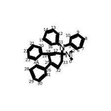 CN(C)C1(N(c2ccccc2)c2ccccc2)C=C(c2ccccc2)C(c2ccccc2)=CC1